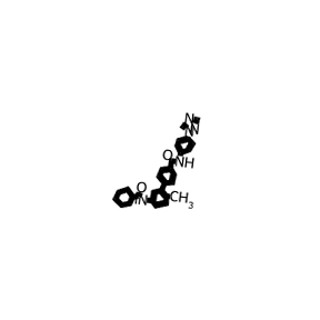 Cc1ccc(NC(=O)C2CCCCC2)cc1-c1ccc(C(=O)Nc2ccc(-n3cncn3)cc2)cc1